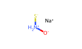 [Na+].[O-][NH2+][S-]